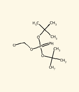 CC(C)(C)OP(=P)(OCCl)OC(C)(C)C